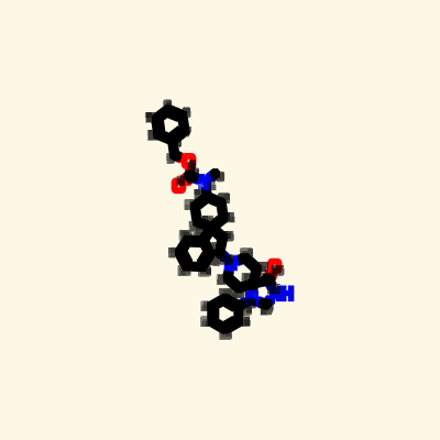 CN(C(=O)OCc1ccccc1)C1CCC(CCN2CCC3(CC2)C(=O)NCN3c2ccccc2)(c2ccccc2)CC1